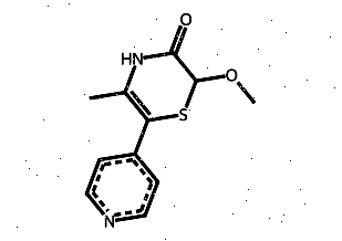 COC1SC(c2ccncc2)=C(C)NC1=O